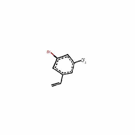 C=Cc1cc(Br)cc(C(F)(F)F)c1